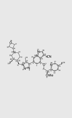 CO[C@@H](COc1cc(-c2nnn(C[C@@H]3CCN(C4COC4)C[C@@H]3F)c2C)cn2ncc(C#N)c12)c1ccc(F)cn1